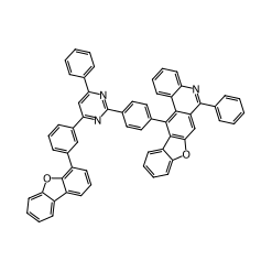 c1ccc(-c2cc(-c3cccc(-c4cccc5c4oc4ccccc45)c3)nc(-c3ccc(-c4c5c(cc6c(-c7ccccc7)nc7ccccc7c46)oc4ccccc45)cc3)n2)cc1